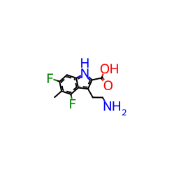 Cc1c(F)cc2[nH]c(C(=O)O)c(CCN)c2c1F